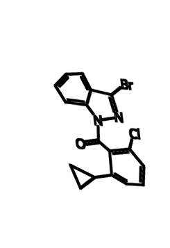 O=C(c1c(Cl)cccc1C1CC1)n1nc(Br)c2ccccc21